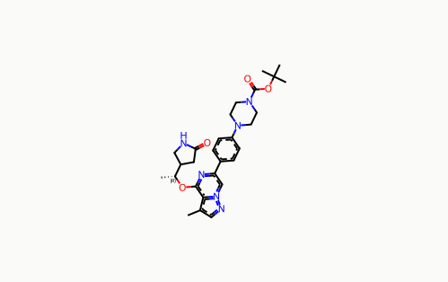 Cc1cnn2cc(-c3ccc(N4CCN(C(=O)OC(C)(C)C)CC4)cc3)nc(O[C@H](C)C3CNC(=O)C3)c12